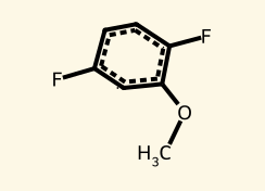 COc1[c]c(F)ccc1F